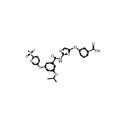 CC(C)Oc1cc(Oc2ccc(S(C)(=O)=O)nc2)cc(C(=O)Nc2ncc(Oc3cccc(C(=O)O)c3)s2)c1